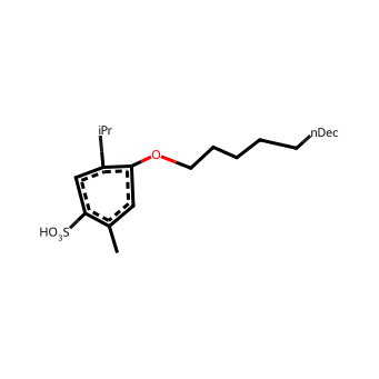 CCCCCCCCCCCCCCCOc1cc(C)c(S(=O)(=O)O)cc1C(C)C